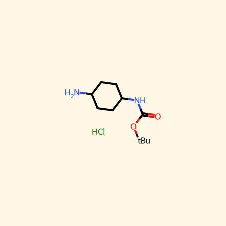 CC(C)(C)OC(=O)NC1CCC(N)CC1.Cl